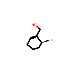 C[C@H]1CCCC=C1CO